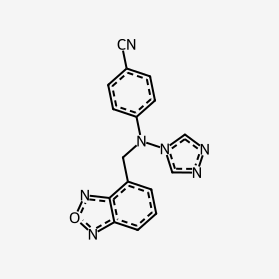 N#Cc1ccc(N(Cc2cccc3nonc23)n2cnnc2)cc1